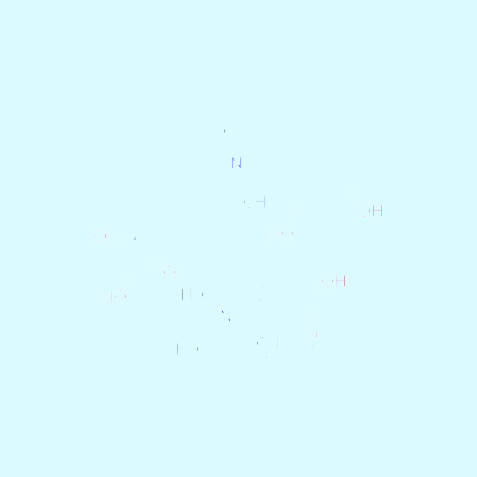 C[N+](C)(C)CC(=O)O.C[N+](C)(CCCS(=O)(=O)O)CC(O)CO